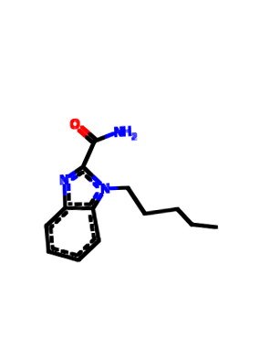 CCCCCn1c(C(N)=O)nc2ccccc21